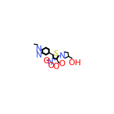 CCn1cnc2cc(-c3sc(N4CCC(CO)C4)c(C(=O)OC)c3[N+](=O)[O-])ccc21